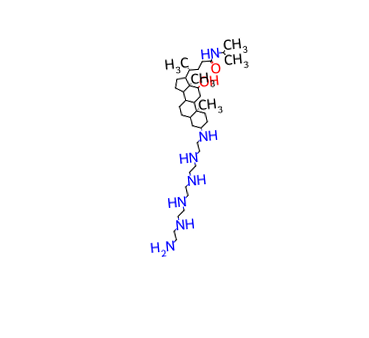 CC(C)NC(=O)CC[C@@H](C)C1CCC2C3CCC4C[C@@H](NCCNCCNCCNCCNCCN)CC[C@]4(C)C3C[C@H](O)[C@@]21C